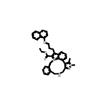 CCOC(=O)c1c(CCCOc2cccc3ccccc23)c2cccc3c2n1Cc1ccccc1CNCc1nn(C)c(C)c1-3